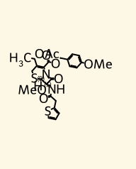 COc1ccc(COC(=O)C2=C(C(C)OC(C)=O)CS[C@H]3N2C(=O)[C@]3(NC(=O)Cc2cccs2)OC)cc1